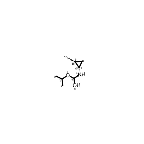 CC(C)OC(O)N[C@H]1C[C@@H]1F